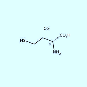 N[C@H](CCS)C(=O)O.[Co]